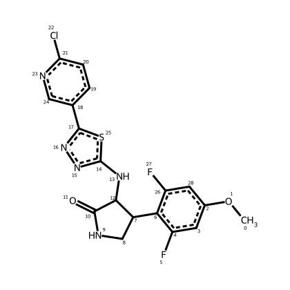 COc1cc(F)c(C2CNC(=O)C2Nc2nnc(-c3ccc(Cl)nc3)s2)c(F)c1